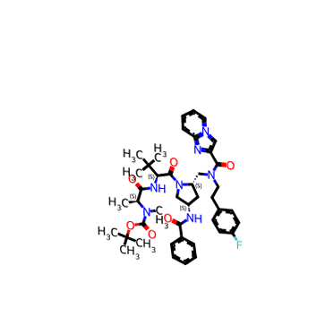 C[C@@H](C(=O)N[C@H](C(=O)N1C[C@@H](NC(=O)c2ccccc2)C[C@H]1CN(CCc1ccc(F)cc1)C(=O)c1cn2ccccc2n1)C(C)(C)C)N(C)C(=O)OC(C)(C)C